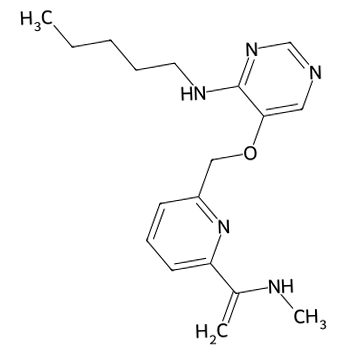 C=C(NC)c1cccc(COc2cncnc2NCCCCC)n1